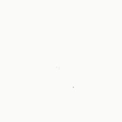 CCC(C)(O)CC(N)C1(c2cccc(Cl)c2)CCC1